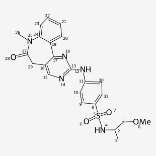 COCC(C)NS(=O)(=O)c1ccc(Nc2ncc3c(n2)-c2ccccc2N(C)C(=O)C3)cc1